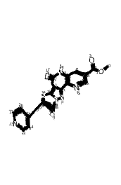 COC(=O)c1cnc2c(c1)[nH]c(=O)c1c2nn2cc(-c3ccncc3)sc12